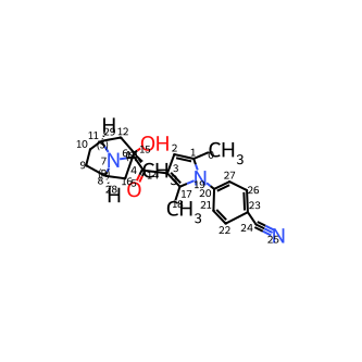 Cc1cc(C(=O)CN2[C@@H]3CC[C@H]2C[C@](C)(O)C3)c(C)n1-c1ccc(C#N)cc1